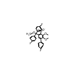 COc1c(-c2ccc(F)cc2)cc(C(O[SiH3])(c2ccc(F)cc2)c2ccc(F)cc2)c([N+](=O)[O-])c1OC